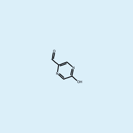 O=[C]c1cnc(O)cn1